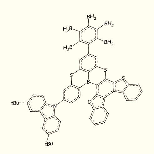 Bc1c(B)c(B)c(-c2cc3c4c(c2)Sc2c(c5oc6ccccc6c5c5c2sc2ccccc25)B4c2ccc(-n4c5ccc(C(C)(C)C)cc5c5cc(C(C)(C)C)ccc54)cc2S3)c(B)c1B